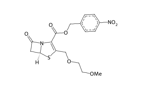 COCCOCC1=C(C(=O)OCc2ccc([N+](=O)[O-])cc2)N2C(=O)C[C@@H]2S1